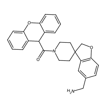 NCc1ccc2c(c1)C1(CCN(C(=O)C3c4ccccc4Oc4ccccc43)CC1)CO2